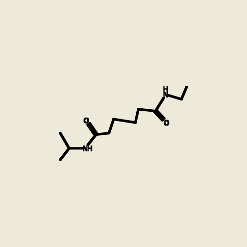 CCNC(=O)CCCCC(=O)NC(C)C